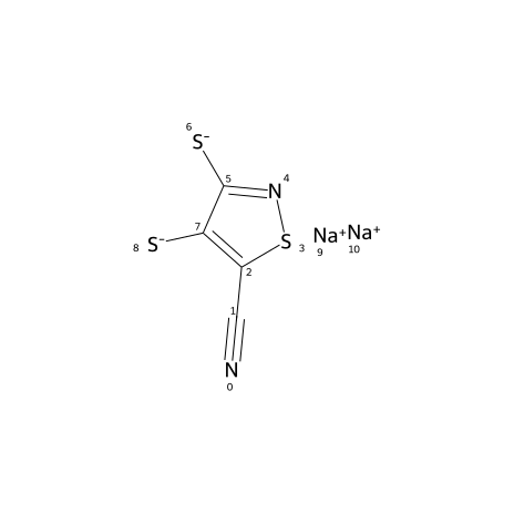 N#Cc1snc([S-])c1[S-].[Na+].[Na+]